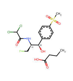 CCCC(=O)O.CS(=O)(=O)c1ccc([C@@H](O)[C@@H](CF)NC(=O)C(Cl)Cl)cc1